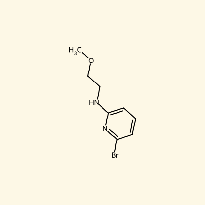 COCCNc1cccc(Br)n1